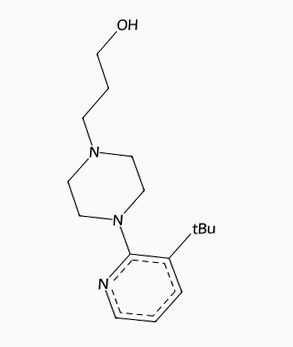 CC(C)(C)c1cccnc1N1CCN(CCCO)CC1